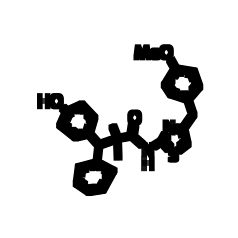 COc1ccc(Cc2csc(NC(=O)C(C)(C)C(c3ccccc3)c3ccc(O)cc3)n2)cc1